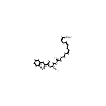 CCCCC/C=C\C/C=C\C/C=C\CCCCC(=O)OC[C@H](C)OC(=O)[C@@H](N)Cc1ccccc1